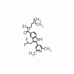 CCN(CCN(C)C)C(=O)c1ccc2[nH]c(-c3cc(C)nc(C)c3)c(CC(F)F)c2c1